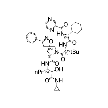 CCC[C@H](NC(=O)[C@@H]1C[C@]2(CC(c3ccccc3)=NO2)CN1C(=O)[C@@H](NC(=O)[C@@H](NC(=O)c1cnccn1)C1CCCCC1)C(C)(C)C)C(O)C(=O)NC1CC1